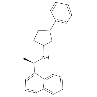 C[C@@H](NC1CCC(c2c[c]ccc2)C1)c1cccc2ccccc12